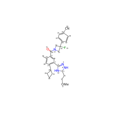 COCCC1NN=C(c2cc(C(=O)N3CC(F)(c4ccc(C#N)cc4)C3)c(C)cc2C2CCC2)N1